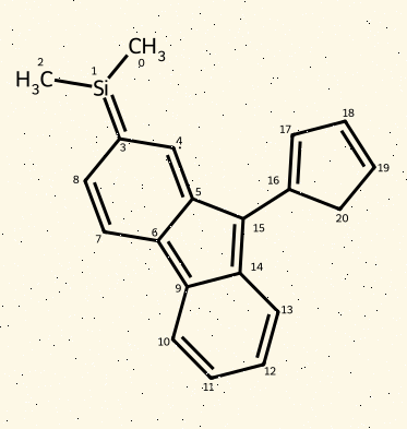 C[Si](C)=c1[c]c2c(cc1)=c1ccccc1=C2C1=CC=CC1